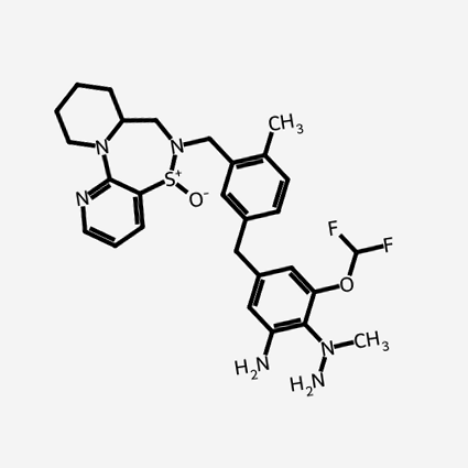 Cc1ccc(Cc2cc(N)c(N(C)N)c(OC(F)F)c2)cc1CN1CC2CCCCN2c2ncccc2[S+]1[O-]